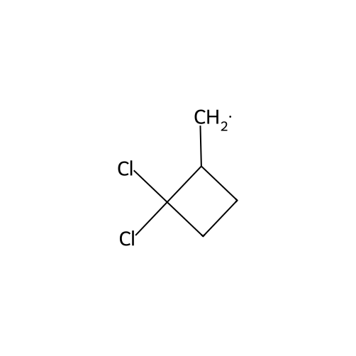 [CH2]C1CCC1(Cl)Cl